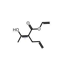 C=CC/C(C(=O)OC=C)=C(\C)O